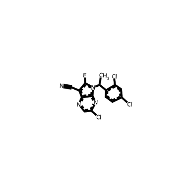 CC(c1ccc(Cl)cc1Cl)n1c(F)c(C#N)c2ncc(Cl)nc21